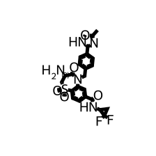 CC1=NC(c2ccc(CN3C(=O)[C@@H](N)CS(=O)(=O)c4ccc(C(=O)NC5CC5(F)F)cc43)cc2)NO1